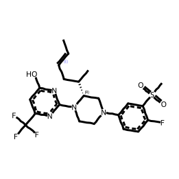 C/C=C/CC(C)[C@@H]1CN(c2ccc(F)c(S(C)(=O)=O)c2)CCN1c1nc(O)cc(C(F)(F)F)n1